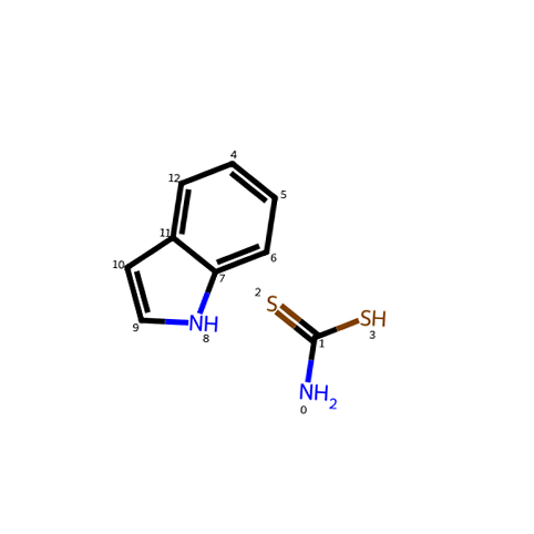 NC(=S)S.c1ccc2[nH]ccc2c1